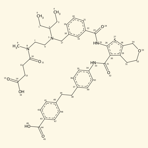 CCC(CC)N(CCN(C)C(=O)CCC(=O)O)Cc1cccc(C(=O)Nc2sc3c(c2C(=O)Nc2ccc(CCc4ccc(C(=O)O)cc4)cc2)CCOC3)c1